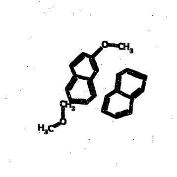 COC.COc1ccc2ccccc2c1.c1ccc2ccccc2c1